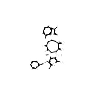 COc1c(N[C@H]2CC(=O)C(=O)[C@H](Cc3ccccc3)[C@H](OC(=O)C(C)C)[C@H](C)C(=O)C2=O)c(O)nc(C)c1OCc1ccccc1